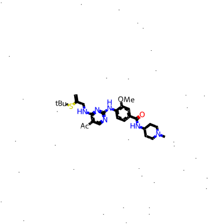 C=C(CNc1nc(Nc2ccc(C(=O)NC3CCN(C)CC3)cc2OC)ncc1C(C)=O)SC(C)(C)C